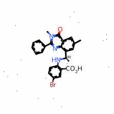 Cc1cc([C@@H](C)Nc2ccc(Br)cc2C(=O)O)c2nc(-c3ccccc3)n(C)c(=O)c2c1